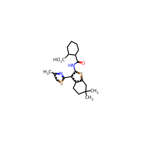 Cc1csc(-c2c(NC(=O)C3CCCCC3C(=O)O)sc3c2CCC(C)(C)C3)n1